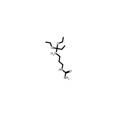 CCOC(CC)(OCC)[SiH2]CCCNC(N)=O